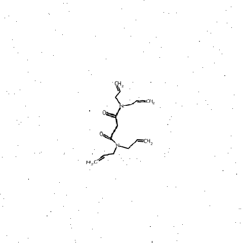 C=CCN(CC=C)C(=O)CC(=O)N(CC=C)CC=C